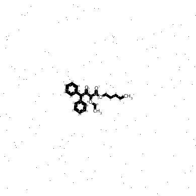 CCCCCOC(=O)C(OCC)C(=O)C(c1ccccc1)c1ccccc1